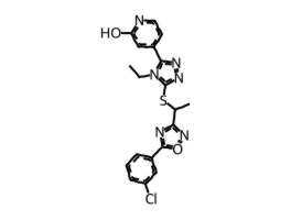 CCn1c(SC(C)c2noc(-c3cccc(Cl)c3)n2)nnc1-c1ccnc(O)c1